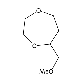 COCC1CCOCCO1